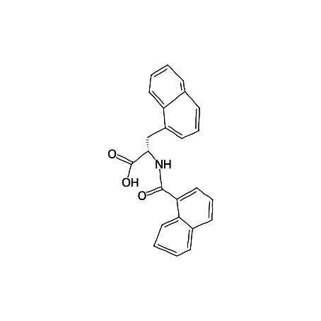 O=C(N[C@@H](Cc1cccc2ccccc12)C(=O)O)c1cccc2ccccc12